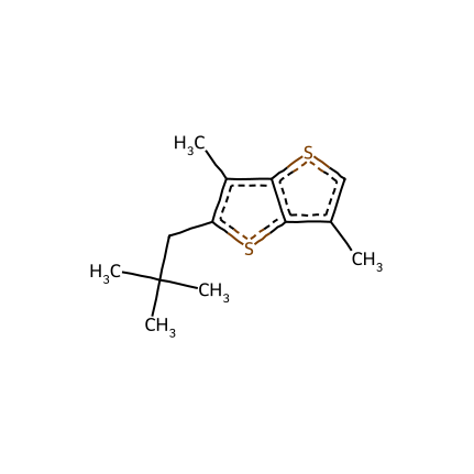 Cc1csc2c(C)c(CC(C)(C)C)sc12